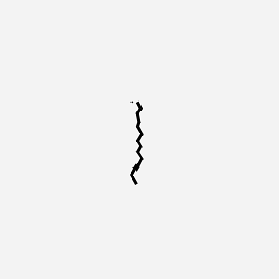 [CH2]CCCCCCCCCC#CCC